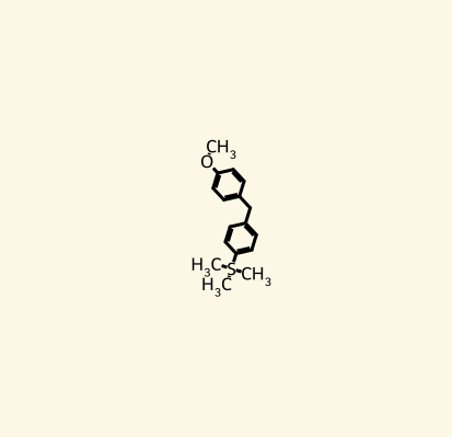 COc1ccc(Cc2ccc(S(C)(C)C)cc2)cc1